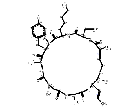 C/C=C/[C@H]1OC(=O)[C@@H](C)NC(=O)[C@H](C(C)CC)NC(=O)CN(C)C(=O)[C@@H](Cc2ccc(Cl)cc2)N(C)C(=O)C(CCCCN)NC(=O)[C@@H](CC(C)C)OC(=O)/C(C)=C/CC[C@@H]1C